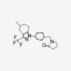 CC1CCc2c(c(C(F)(F)F)nn2-c2ccc(CN3CCCC3=O)cc2)C1